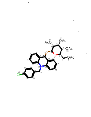 CC(=O)OC[C@H]1O[C@@H](SC2c3ccccc3N(Cc3ccc(Cl)cc3)c3ccccc32)[C@H](OC(C)=O)[C@@H](OC(C)=O)[C@@H]1OC(C)=O